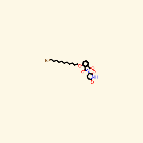 O=C1CCC(N2C(=O)c3cccc(OCCCCCCCCCCCBr)c3C2=O)C(=O)N1